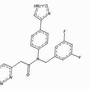 O=C(Cc1cccnn1)N(Cc1cc(F)cc(F)c1)c1ccc(-c2c[nH]cn2)cc1